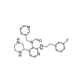 O=CN(Cc1cccnc1)c1c(C2CNCCN2)ccnc1NCCc1cccc(F)c1